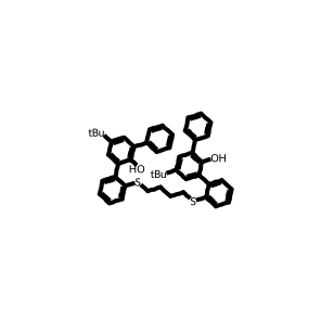 CC(C)(C)c1cc(-c2ccccc2)c(O)c(-c2ccccc2SCCCCSc2ccccc2-c2cc(C(C)(C)C)cc(-c3ccccc3)c2O)c1